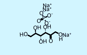 O=C(CO)[C@@H](O)[C@H](O)[C@H](O)CO.O=P([O-])([O-])[O-].[Na+].[Na+].[Na+]